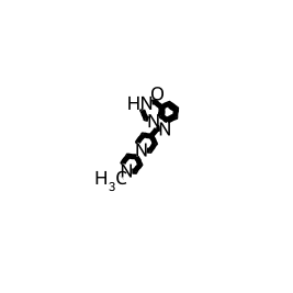 CN1CCC(N2CCC(c3nc4cccc5c4n3CCNC5=O)CC2)CC1